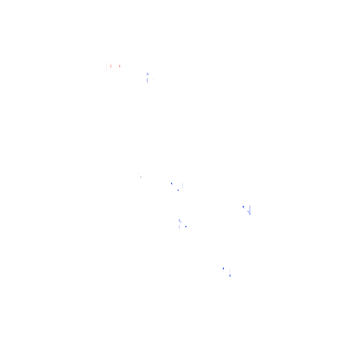 CCCCCC(CN(O)C=O)C(=O)NNc1ncc2c(n1)CCCC2